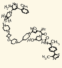 Cc1ncsc1-c1ccc([C@H](C)NC(=O)[C@@H]2C[C@@H](O)CN2C(=O)[C@@H](c2cc(N3CCC(CN4CCC(OC5CC(N6CCN(C[C@@H]7[C@H]8CN(c9cc(-c%10ccccc%10O)nnc9N)C[C@@H]78)CC6)C5)CC4)CC3)no2)C(C)C)cc1